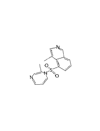 CC1=CN=CC=CN1S(=O)(=O)c1cccc2cncc(C)c12